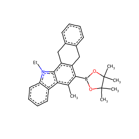 CCn1c2ccccc2c2c(C)c(B3OC(C)(C)C(C)(C)O3)c3c(c21)Cc1ccccc1C3